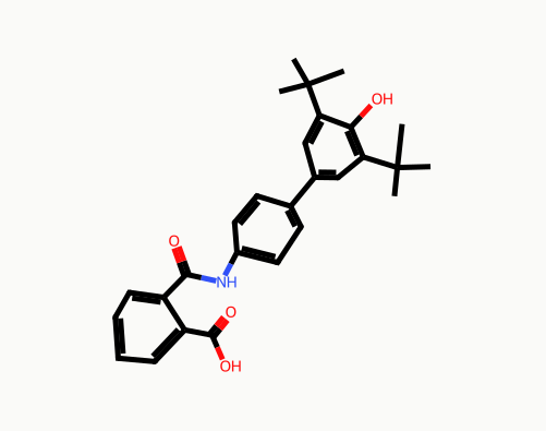 CC(C)(C)c1cc(-c2ccc(NC(=O)c3ccccc3C(=O)O)cc2)cc(C(C)(C)C)c1O